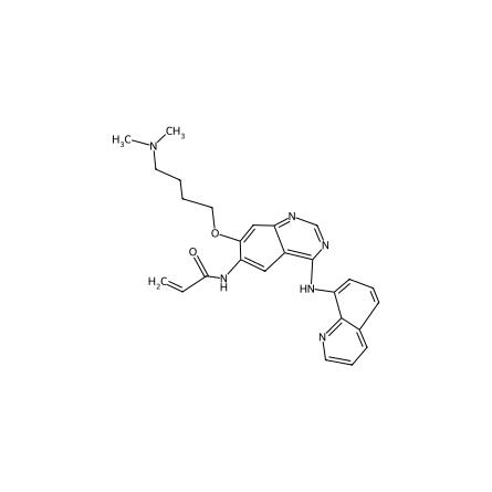 C=CC(=O)Nc1cc2c(Nc3cccc4cccnc34)ncnc2cc1OCCCCN(C)C